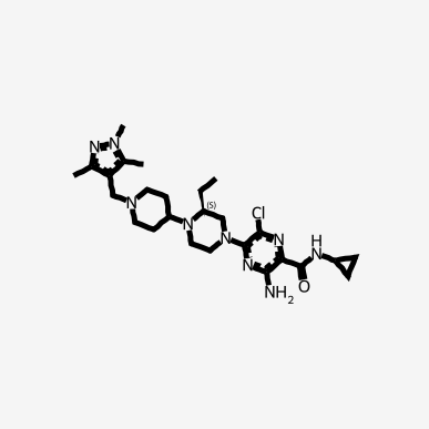 CC[C@H]1CN(c2nc(N)c(C(=O)NC3CC3)nc2Cl)CCN1C1CCN(Cc2c(C)nn(C)c2C)CC1